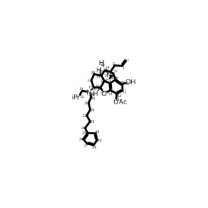 C=CCN1CC[C@]23c4c5c(O)cc(OC(C)=O)c4O[C@H]2[C@@H](N(CCCCCCc2ccccc2)CC(C)C)CC[C@H]3[C@H]1C5